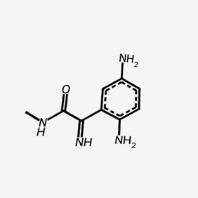 CNC(=O)C(=N)c1cc(N)ccc1N